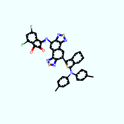 Cc1ccc(N(c2ccc(C)cc2)c2sc(-c3cc4c(cc(/N=c5\c(=O)c(=O)c6c(F)cc(F)cc56)c5nsnc54)c4nsnc34)c3ccccc23)cc1